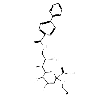 C=CCOC1(C(=O)O)CC(O)C(N)C([C@@H](O)[C@H](O)CNC(=O)c2ccc(-c3ccccc3)cc2)O1